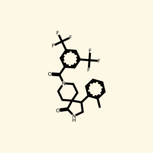 Cc1ccccc1C1CNC(=O)C12CCN(C(=O)c1cc(C(F)(F)F)cc(C(F)(F)F)c1)CC2